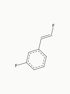 F[C]=Cc1cccc(F)c1